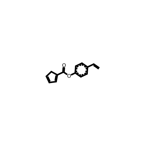 C=Cc1ccc(OC(=O)C2=CC=CC2)cc1